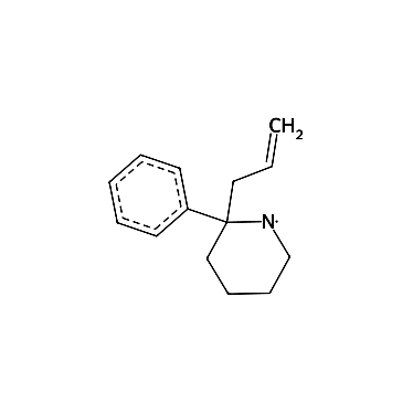 C=CCC1(c2ccccc2)CCCC[N]1